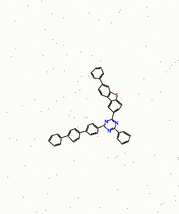 c1ccc(-c2ccc(-c3ccc(-c4nc(-c5ccccc5)nc(-c5ccc6sc7cc(-c8ccccc8)ccc7c6c5)n4)cc3)cc2)cc1